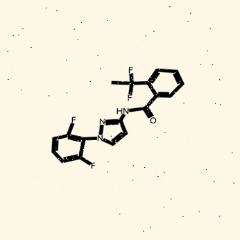 CC(F)(F)c1ccccc1C(=O)Nc1ccn(-c2c(F)cccc2F)n1